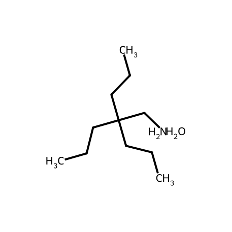 CCCC(CN)(CCC)CCC.O